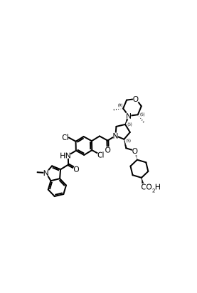 C[C@@H]1COC[C@H](C)N1[C@H]1C[C@@H](CO[C@H]2CC[C@H](C(=O)O)CC2)N(C(=O)Cc2cc(Cl)c(NC(=O)c3cn(C)c4ccccc34)cc2Cl)C1